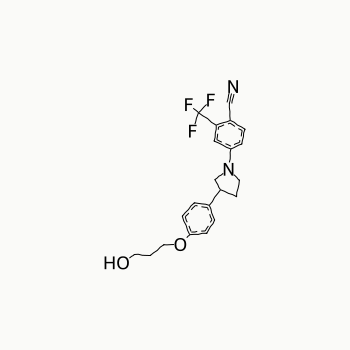 N#Cc1ccc(N2CCC(c3ccc(OCCCO)cc3)C2)cc1C(F)(F)F